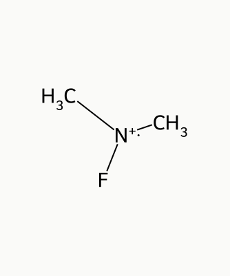 C[N+](C)F